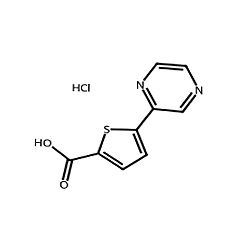 Cl.O=C(O)c1ccc(-c2cnccn2)s1